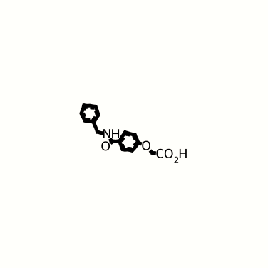 O=C(O)COc1ccc(C(=O)NCc2ccccc2)cc1